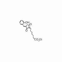 CCOC(=O)CCCCCCN1C(=O)CC(=Cc2ccccc2O)C1=O